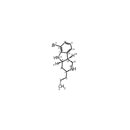 CCCC1C[C@@H]2Nc3c(Br)cccc3[C@@H]2CN1